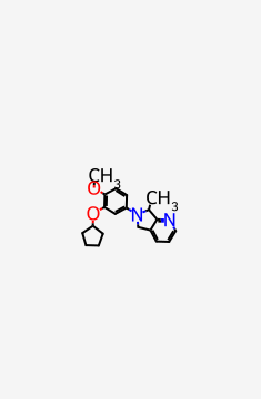 COc1ccc(N2Cc3cccnc3C2C)cc1OC1CCCC1